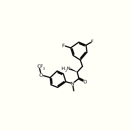 CN(C(=O)[C@@H](N)Cc1cc(F)cc(F)c1)c1ccc(OC(F)(F)F)cc1